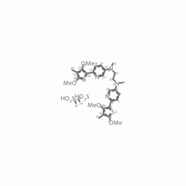 COc1sc(-c2ccc(N(C)CCN(C)c3ccc(-c4sc(OC)c(C)c4OC)nc3)cn2)c(OC)c1C.CS(=O)(=O)O.CS(=O)(=O)O